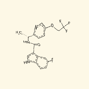 C[C@@H](NC(=O)c1c[nH]c2ccc(F)cc12)c1ccc(OCC(F)(F)F)cn1